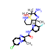 Cc1c(C(=O)Nc2ccc(F)c([C@@]3(C)N=C(N)C(C)(C)S4(O)NCCC[C@H]34)n2)nc2ccc(Cl)cn12